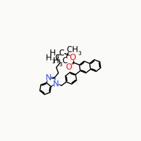 CCCCc1nc2ccccc2n1Cc1ccc(-c2cc3ccccc3cc2C(=O)OC(C)(C)C)cc1